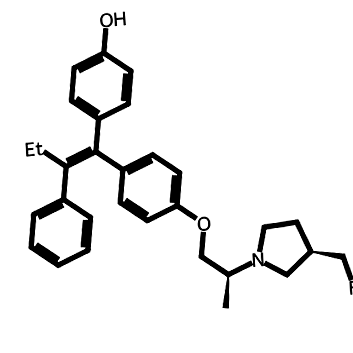 CC/C(=C(\c1ccc(O)cc1)c1ccc(OC[C@H](C)N2CC[C@@H](CF)C2)cc1)c1ccccc1